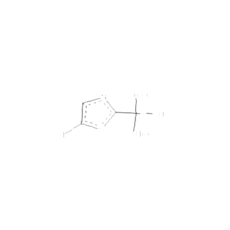 CCCCCCC(C)(CCCC)c1ncc(I)s1